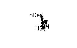 CCCCCCCCCCCCCCCCCCNC(=S)S.c1ccncc1